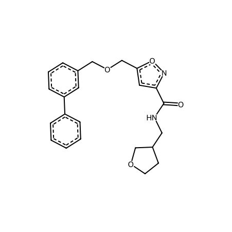 O=C(NCC1CCOC1)c1cc(COCc2cccc(-c3ccccc3)c2)on1